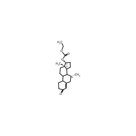 CCOC(=O)O[C@H]1CCC2C3C(CC[C@@]21C)C1CCC(=O)C=C1C[C@H]3C